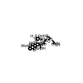 CCCNC(=O)CCSC1CC(O)N(CCCC(=O)N/N=C(/CO)[C@]2(O)Cc3c(O)c4c(c(O)c3[C@@H](O[C@H]3C[C@H](NOC(C)=O)[C@H](O)[C@H](C)O3)C2)C(=O)c2c(OC)cccc2C4=O)C1=O